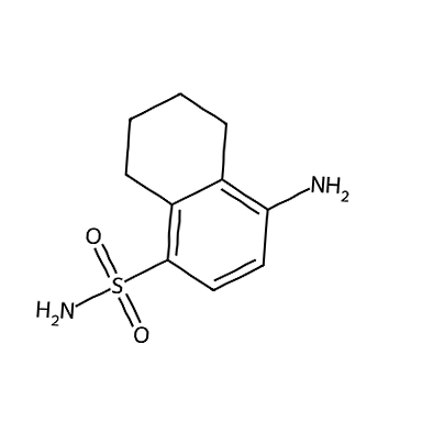 Nc1ccc(S(N)(=O)=O)c2c1CCCC2